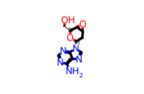 Nc1ncnc2c1ncn2[C@H]1CC2OC2[C@@H](CO)O1